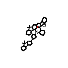 CC1(C)c2ccccc2-c2ccc(-c3ccc(N(c4ccccc4-c4cccc5c4oc4ccccc45)c4cccc5c4-c4ccccc4C5(C)C)cc3)cc21